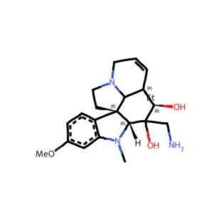 CC[C@]12C=CCN3CC[C@@]4(c5ccc(OC)cc5N(C)[C@H]4C(O)(CN)[C@@H]1O)C32